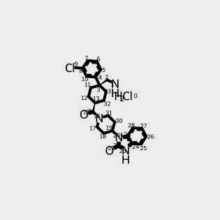 Cl.NC[C@]1(c2cccc(Cl)c2)CC[C@H](C(=O)N2CCC(n3c(=O)[nH]c4ccccc43)CC2)CC1